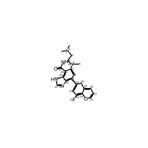 CN(C)CCN(C)c1cc(C2=CC(F)=C3OC=CC=C3C2)c2nc[nH]c2c1C(N)=O